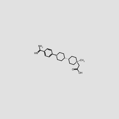 C[N@+]1(CC(=O)O)CC[C@H](C2CCN(c3ccc(C(=N)N)cc3)CC2)CC1